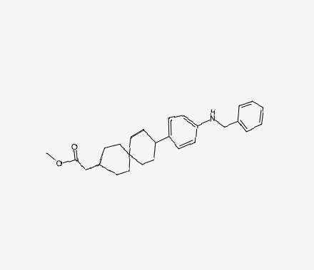 COC(=O)CC1CCC2(CC1)CCC(c1ccc(NCc3ccccc3)cc1)CC2